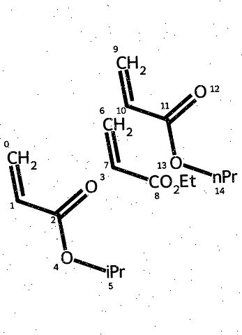 C=CC(=O)OC(C)C.C=CC(=O)OCC.C=CC(=O)OCCC